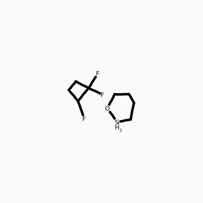 C1CC[SiH2]OC1.FC1CCC1(F)F